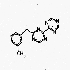 Cc1cccc(Cc2ncnc(-c3ncncn3)n2)c1